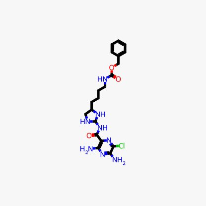 Nc1nc(N)c(C(=O)NC2NCC(CCCCNC(=O)OCc3ccccc3)N2)nc1Cl